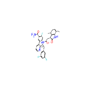 CC1=CCC(C)C2=C1NC(=O)C2CC(=O)N[C@@H](Cc1cc(F)cc(F)c1)c1ncccc1-c1ccc(F)c(C(N)=O)c1